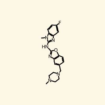 CN1CCN(Cc2ccc3oc(Nc4nc5cc(F)ccc5n4C)nc3c2)CC1